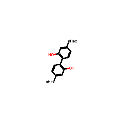 CCCCCCc1ccc(-c2ccc(CCCCCC)cc2O)c(O)c1